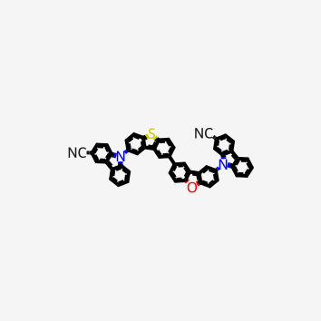 N#Cc1ccc2c(c1)c1ccccc1n2-c1ccc2sc3ccc(-c4ccc5oc6ccc(-n7c8ccccc8c8ccc(C#N)cc87)cc6c5c4)cc3c2c1